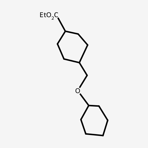 CCOC(=O)C1CCC(COC2CCCCC2)CC1